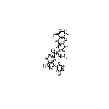 Cc1cc(-c2n[nH]c3c2CN(C(=O)N(N)[C@@H]2CCCN(Cc4c(F)cccc4F)C2)CC3)ccn1